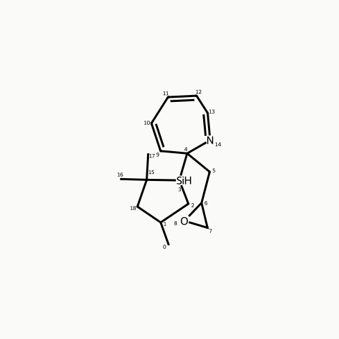 CC1C[SiH](C2(CC3CO3)C=CC=CC=N2)C(C)(C)C1